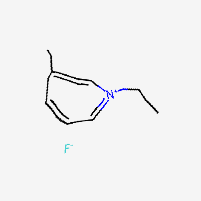 CC[n+]1cccc(C)c1.[F-]